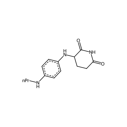 CCCNc1ccc(NC2CCC(=O)NC2=O)cc1